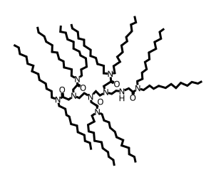 CCCCCCCCCCCCCN(CCCCCCCCCCC)C(=O)CN(CCN(CCN(CCNCC(=O)N(CCCCCCCCCCCC)CCCCCCCCCCCC)CC(=O)N(CCCCCCCCCCCC)CCCCCCCCCCCC)CC(=O)N(CCCCCCCCCCCC)CCCCCCCCCCCC)CC(=O)N(CCCCCCCCCCCC)CCCCCCCCCCCC